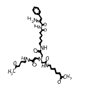 CC(=O)CCCCCNC(=O)CN(CC(=O)NCCCCCC(=O)NC(=O)[C@@H](N)Cc1ccccc1)CC(=O)NCCCC(C)=O